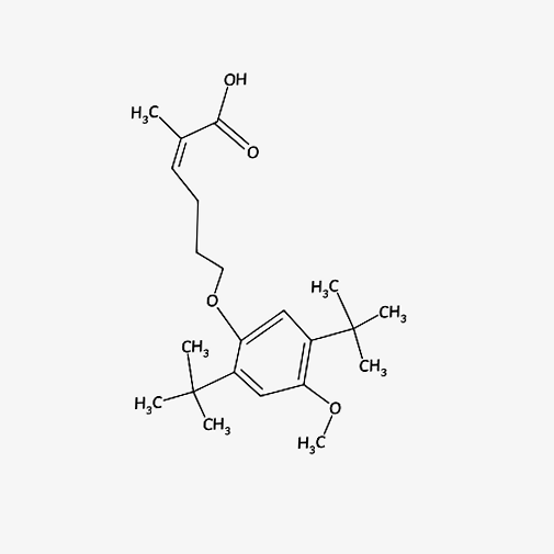 COc1cc(C(C)(C)C)c(OCCCC=C(C)C(=O)O)cc1C(C)(C)C